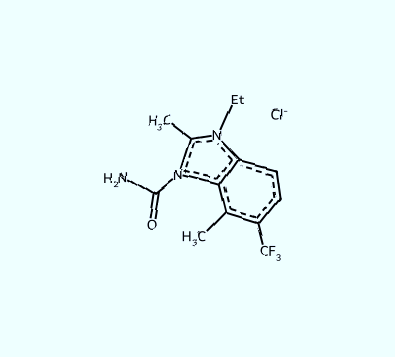 CCn1c(C)[n+](C(N)=O)c2c(C)c(C(F)(F)F)ccc21.[Cl-]